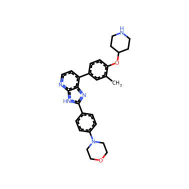 Cc1cc(-c2ccnc3[nH]c(-c4ccc(N5CCOCC5)cc4)nc23)ccc1OC1CCNCC1